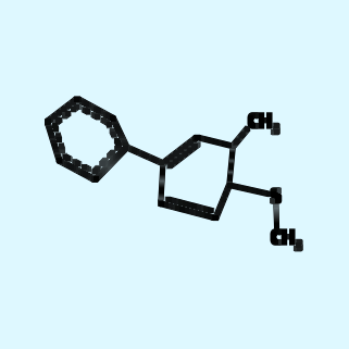 CSC1C=CC(c2ccccc2)=CC1C